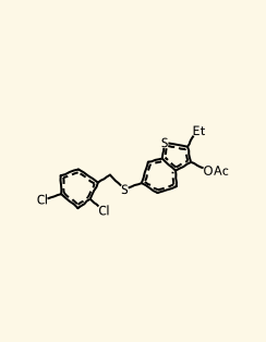 CCc1sc2cc(SCc3ccc(Cl)cc3Cl)ccc2c1OC(C)=O